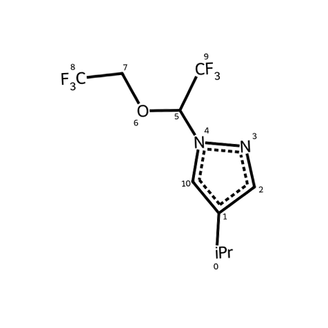 CC(C)c1cnn(C(OCC(F)(F)F)C(F)(F)F)c1